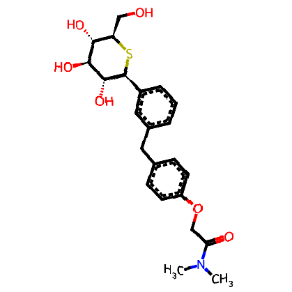 CN(C)C(=O)COc1ccc(Cc2cccc([C@@H]3S[C@H](CO)[C@@H](O)[C@H](O)[C@H]3O)c2)cc1